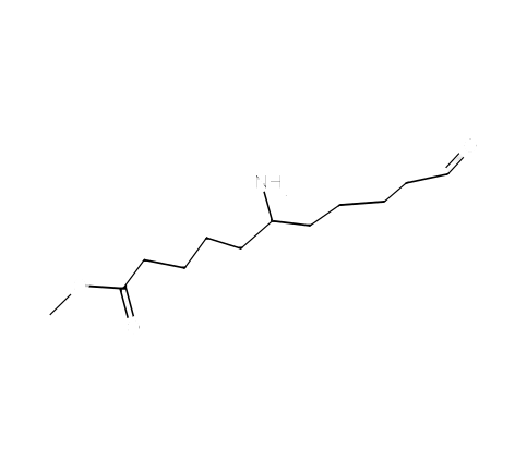 COC(=O)CCCCC(N)CCCCC=O